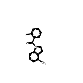 Cc1cccc2c1ccn2C(=O)c1ccccc1I